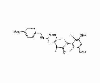 COc1ccc(CNc2cc3c(cn2)CN(c2c(F)c(OC)cc(OC)c2F)C(=O)N3C)cc1